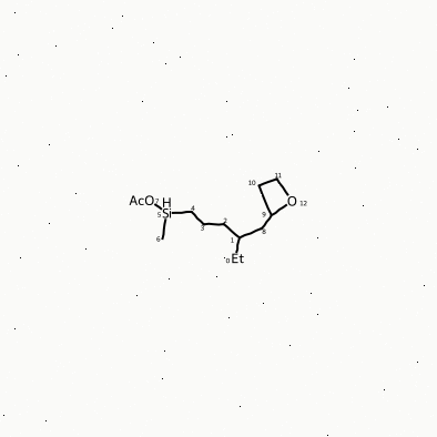 CCC(CCC[SiH](C)OC(C)=O)CC1CCO1